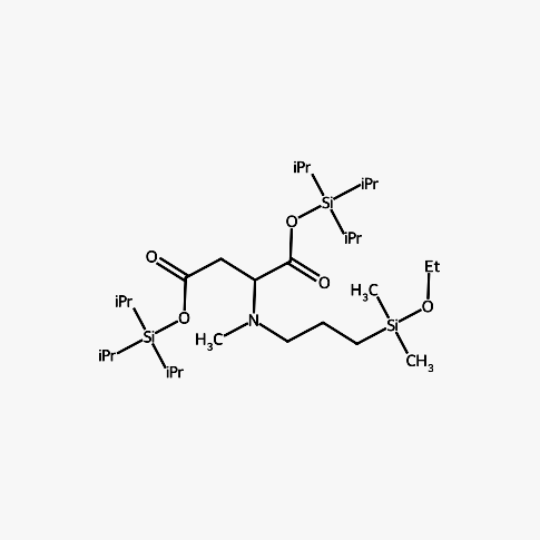 CCO[Si](C)(C)CCCN(C)C(CC(=O)O[Si](C(C)C)(C(C)C)C(C)C)C(=O)O[Si](C(C)C)(C(C)C)C(C)C